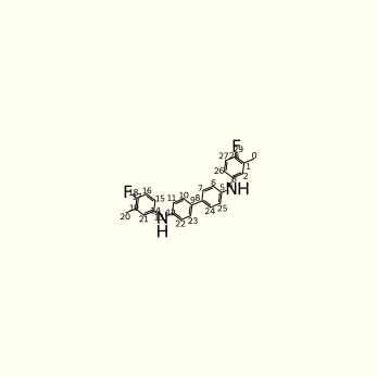 Cc1cc(Nc2ccc(-c3ccc(Nc4ccc(F)c(C)c4)cc3)cc2)ccc1F